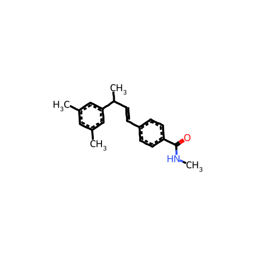 CNC(=O)c1ccc(/C=C/C(C)c2cc(C)cc(C)c2)cc1